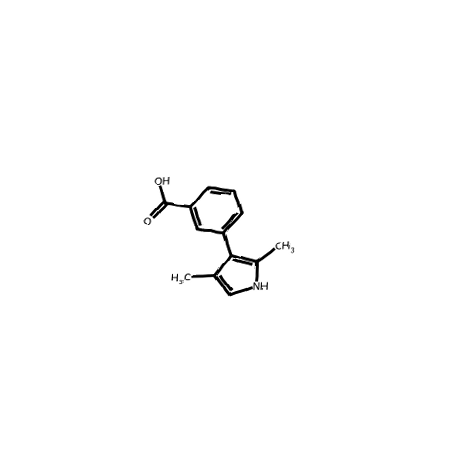 Cc1c[nH]c(C)c1-c1cccc(C(=O)O)c1